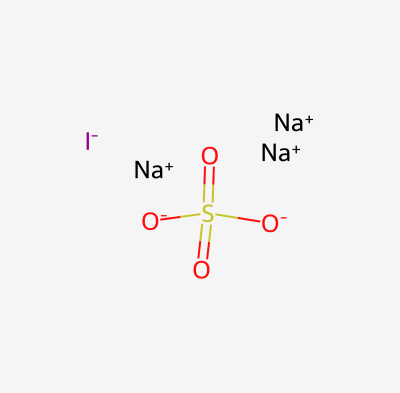 O=S(=O)([O-])[O-].[I-].[Na+].[Na+].[Na+]